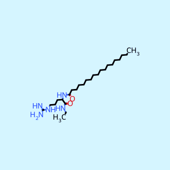 CCCCCCCCCCCCCCCCCC(=O)NC(CCCNC(=N)N)C(=O)NCC